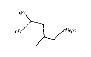 CCCCCCCCC(C)CC(CCC)CCC